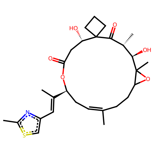 CC(=Cc1csc(C)n1)[C@@H]1C/C=C(/C)CCC2OC2(C)[C@H](O)[C@@H](C)C(=O)C2(CCC2)[C@@H](O)CC(=O)O1